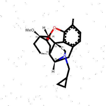 CO[C@]12CC[C@@]3(CC1=O)[C@H]1Cc4ccc(C)c5c4[C@@]3(CCN1CC1CC1)[C@H]2O5